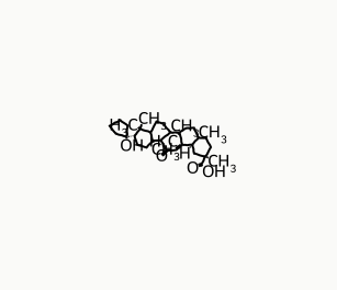 CC1(C)C2CC[C@]3(C)C(C(=O)C=C4[C@@H]5C[C@@](C)(C(=O)O)CC[C@]5(C)CC[C@]43C)[C@@]2(C)CC[C@@H]1C1(O)CCCC1